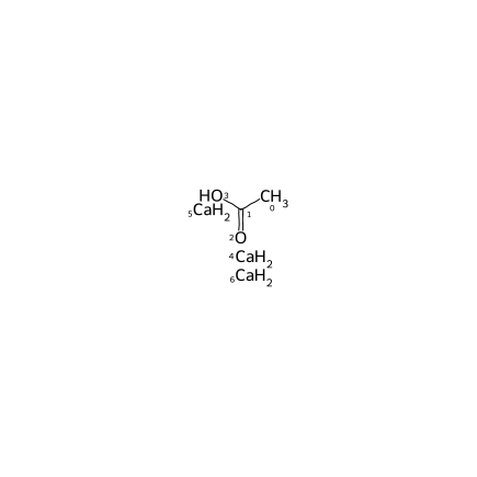 CC(=O)O.[CaH2].[CaH2].[CaH2]